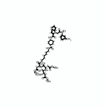 CCN(C(=O)Cn1c(C(=O)N[C@H]2CC[C@H](C(=O)NCCCCCCNC(=O)[C@H](CC(=O)OC(C)(C)C)NC(=O)[C@H](CC(=O)OC(C)(C)C)NC(=O)[C@H](CC(=O)OC(C)(C)C)NC(C)=O)CC2)cc2sccc21)c1cccc(C)c1